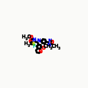 COC(=O)/N=C(SC)/C(=N/c1ccc(-c2noc(C)n2)cc1)c1cc(OC)c2c(c1F)CCCO2